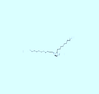 CCCCCCCCCCCC[n+]1ccn(C)c1CCCCCCCCC